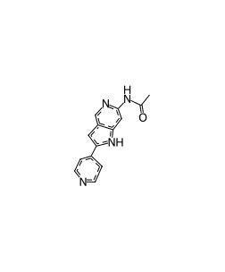 CC(=O)Nc1cc2[nH]c(-c3ccncc3)cc2cn1